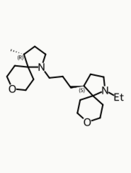 CCN1CC[C@H](CCCN2CC[C@@H](C)C23CCOCC3)C12CCOCC2